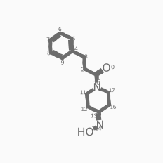 O=C(CCc1ccccc1)N1CCC(=NO)CC1